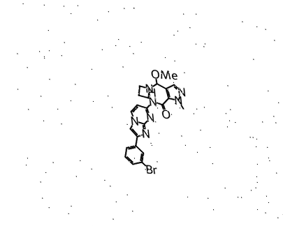 COC(c1cnn(C)c1C(=O)Nc1ccn2cc(-c3cccc(Br)c3)nc2n1)N1CCC1